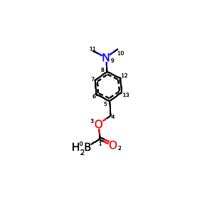 BC(=O)OCc1ccc(N(C)C)cc1